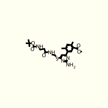 COC(=O)c1cc(-c2cc(SCCNC(=O)CCNC(=O)OC(C)(C)C)nc(N)n2)c(C)cc1C